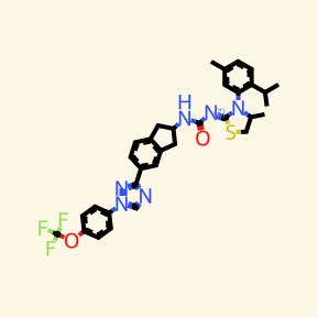 Cc1ccc(C(C)C)c(N2/C(=N/C(=O)NC3Cc4ccc(-c5ncn(-c6ccc(OC(F)(F)F)cc6)n5)cc4C3)SCC2C)c1